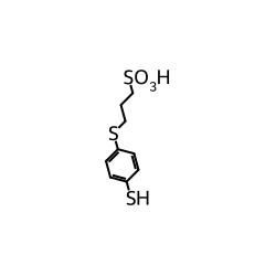 O=S(=O)(O)CCCSc1ccc(S)cc1